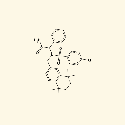 CC1(C)CCC(C)(C)c2cc(CN(C(C(N)=O)c3ccccc3)S(=O)(=O)c3ccc(Cl)cc3)ccc21